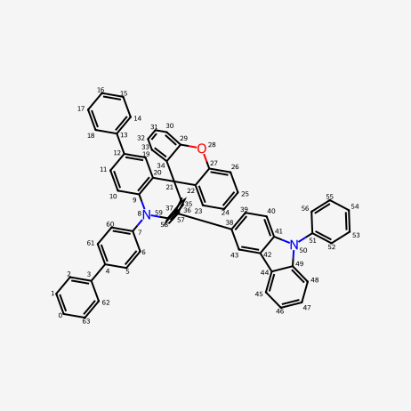 c1ccc(-c2ccc(N3c4ccc(-c5ccccc5)cc4C4(c5ccccc5Oc5ccccc54)c4cc(-c5ccc6c(c5)c5ccccc5n6-c5ccccc5)ccc43)cc2)cc1